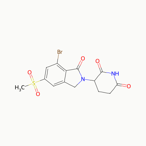 CS(=O)(=O)c1cc(Br)c2c(c1)CN(C1CCC(=O)NC1=O)C2=O